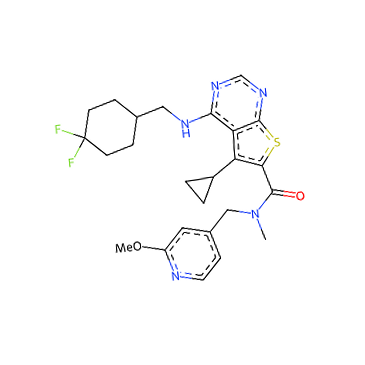 COc1cc(CN(C)C(=O)c2sc3ncnc(NCC4CCC(F)(F)CC4)c3c2C2CC2)ccn1